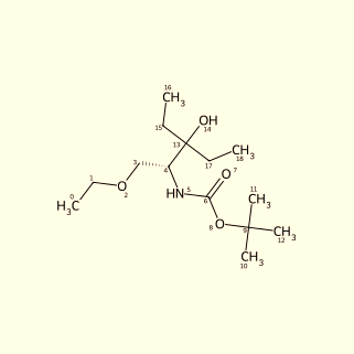 CCOC[C@@H](NC(=O)OC(C)(C)C)C(O)(CC)CC